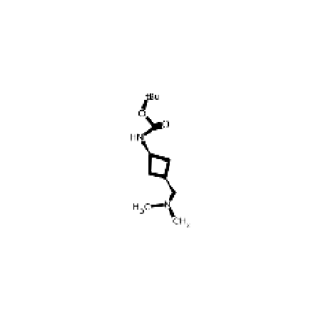 CN(C)C[C@H]1C[C@@H](NC(=O)OC(C)(C)C)C1